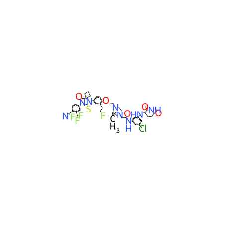 C[C@@H]1CN(CCOc2ccc(N3C(=S)N(c4ccc(C#N)c(C(F)(F)F)c4)C(=O)C34CCC4)cc2CCF)CCN1CC(=O)Nc1cc(Cl)cc(NC2CCC(=O)NC2=O)c1